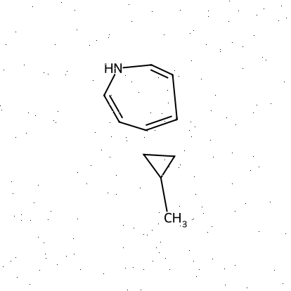 C1=CC=CNC=C1.CC1CC1